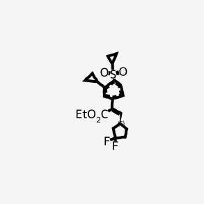 CCOC(=O)C(=C[C@H]1CCC(F)(F)C1)c1ccc(S(=O)(=O)C2CC2)c(C2CC2)c1